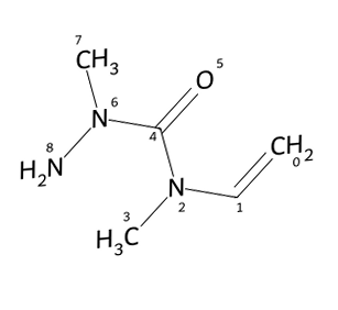 C=CN(C)C(=O)N(C)N